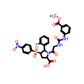 COC(=O)c1cccc(NC(=O)NCC(=O)N2C(C(=O)O)CC(S(=O)(=O)c3ccc([N+](=O)[O-])cc3)C2c2ccccc2F)c1